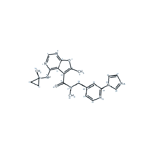 Cc1oc2ncnc(NC3(C)CC3)c2c1C(=O)N(C)Cc1ccnc(-n2ccnc2)c1